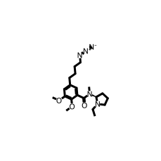 CCN1CCC[C@@H]1N(C)C(=O)c1cc(CCCCN=[N+]=[N-])cc(OC)c1OC